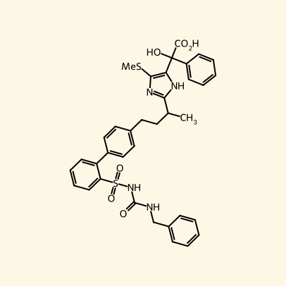 CSc1nc(C(C)CCc2ccc(-c3ccccc3S(=O)(=O)NC(=O)NCc3ccccc3)cc2)[nH]c1C(O)(C(=O)O)c1ccccc1